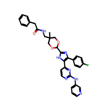 CC1(CNC(=O)Cc2ccccc2)COC(c2nc(-c3ccc(F)cc3)c(-c3ccnc(Nc4cccnc4)n3)[nH]2)OC1